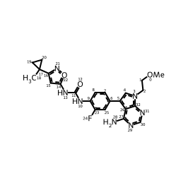 COCCn1cc(-c2ccc(NC(=O)Nc3cc(C4(C)CC4)no3)c(F)c2)c2c(N)ncnc21